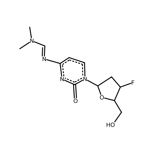 CN(C)/C=N/c1ccn(C2CC(F)C(CO)O2)c(=O)n1